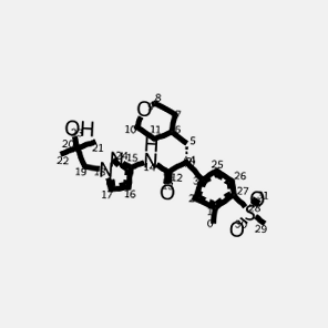 Cc1cc([C@@H](CC2CCOCC2)C(=O)Nc2ccn(CC(C)(C)O)n2)ccc1S(C)(=O)=O